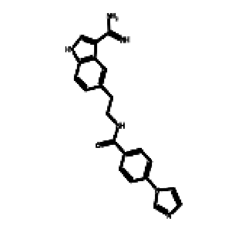 N=C(N)c1c[nH]c2ccc(CCNC(=O)c3ccc(-n4ccnc4)cc3)cc12